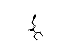 C#CCNC(=O)N(CC)CC